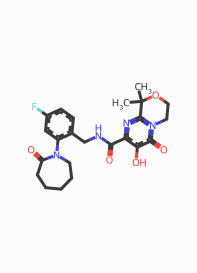 CC1(C)OCCn2c1nc(C(=O)NCc1ccc(F)cc1N1CCCCCC1=O)c(O)c2=O